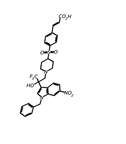 O=C(O)/C=C/c1ccc(S(=O)(=O)C2CCN(CC(O)(c3cn(Cc4ccccc4)c4cc([N+](=O)[O-])ccc34)C(F)(F)F)CC2)cc1